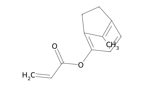 C=CC(=O)Oc1ccc2c(C)c1CC2